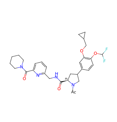 CC(=O)N1CC(c2ccc(OC(F)F)c(OCC3CC3)c2)C[C@@H]1C(=O)NCc1cccc(C(=O)N2CCCCC2)n1